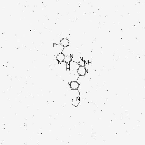 Fc1ccccc1-c1ccnc2[nH]c(-c3n[nH]c4ncc(-c5cncc(CN6CCCC6)c5)cc34)nc12